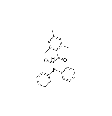 Cc1cc(C)c(C(=O)[PH](=O)P(c2ccccc2)c2ccccc2)c(C)c1